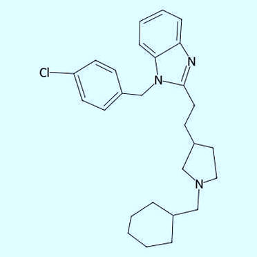 Clc1ccc(Cn2c(CCC3CCN(CC4CCCCC4)C3)nc3ccccc32)cc1